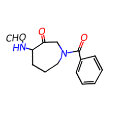 O=CNC1CCCN(C(=O)c2ccccc2)CC1=O